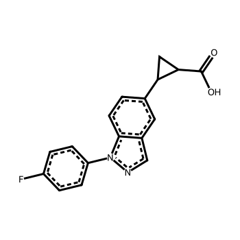 O=C(O)C1CC1c1ccc2c(cnn2-c2ccc(F)cc2)c1